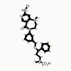 CCNc1cc2c(cn1)C(=O)N(c1cccc(COC(CCN(C)C(=O)O)c3ccccc3)c1)CCN2C